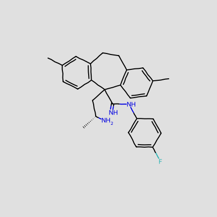 Cc1ccc2c(c1)CCc1cc(C)ccc1C2(C[C@@H](C)N)C(=N)Nc1ccc(F)cc1